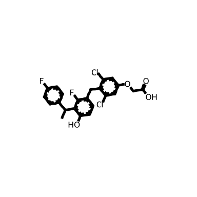 CC(c1ccc(F)cc1)c1c(O)ccc(Cc2c(Cl)cc(OCC(=O)O)cc2Cl)c1F